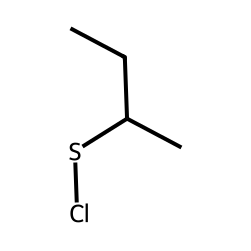 CCC(C)SCl